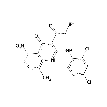 Cc1ccc([N+](=O)[O-])c2c(=O)c(C(=O)CC(C)C)c(Nc3ccc(Cl)cc3Cl)[nH]c12